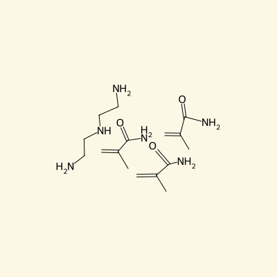 C=C(C)C(N)=O.C=C(C)C(N)=O.C=C(C)C(N)=O.NCCNCCN